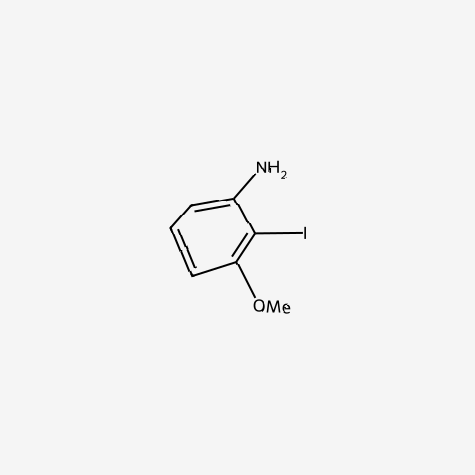 COc1cccc(N)c1I